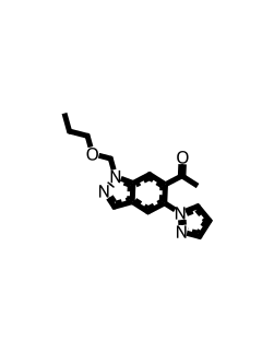 CCCOCn1ncc2cc(-n3cccn3)c(C(C)=O)cc21